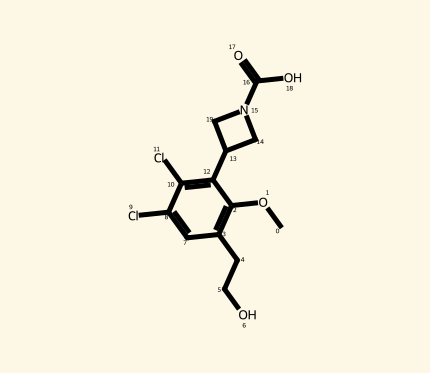 COc1c(CCO)cc(Cl)c(Cl)c1C1CN(C(=O)O)C1